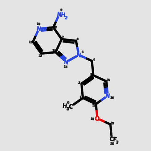 Cc1cc(Cn2cc3c(N)nccc3n2)cnc1OCC(F)(F)F